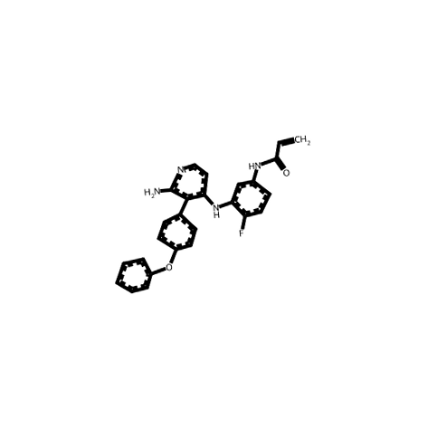 C=CC(=O)Nc1ccc(F)c(Nc2ccnc(N)c2-c2ccc(Oc3ccccc3)cc2)c1